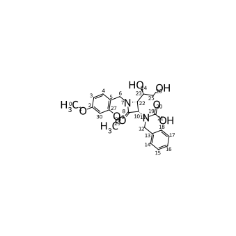 COc1ccc(CN2C(=O)[C@@H](N(Cc3ccccc3)C(=O)O)[C@H]2[C@@H](O)CO)c(OC)c1